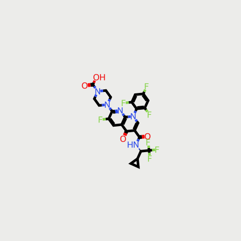 O=C(N[C@@H](C1CC1)C(F)(F)F)c1cn(-c2c(F)cc(F)cc2F)c2nc(N3CCN(C(=O)O)CC3)c(F)cc2c1=O